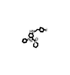 O=C(c1nn(-c2ccccc2)c2c1CC(NCCc1ccc(F)cc1)CC2)N1CCCCC1